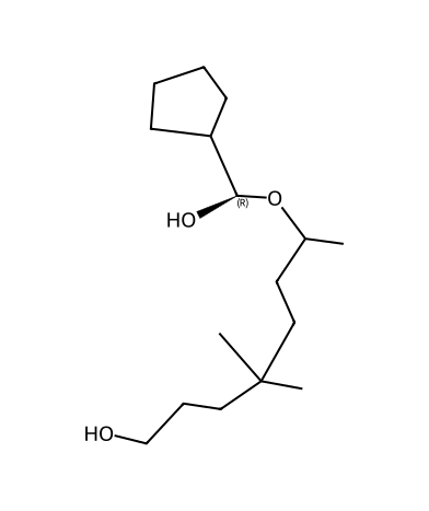 CC(CCC(C)(C)CCCO)O[C@@H](O)C1CCCC1